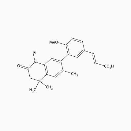 COc1ccc(C=CC(=O)O)cc1-c1cc2c(cc1C)C(C)(C)CC(=O)N2C(C)C